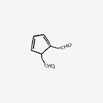 O=CC1=CC=CC1C=O